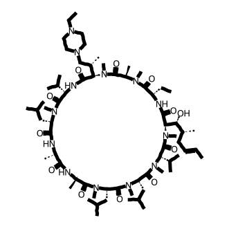 C/C=C/C[C@@H](C)[C@@H](O)[C@H]1C(=O)N[C@@H](CC)C(=O)N(C)[C@H](C)C(=O)N(C)[C@@H]([C@@H](C)CN2CCN(CC)CC2)C(=O)N[C@@H](C(C)C)C(=O)N(C)[C@@H](CC(C)C)C(=O)N[C@@H](C)C(=O)N[C@H](C)C(=O)N(C)[C@@H](CC(C)C)C(=O)N(C)[C@@H](CC(C)C)C(=O)N(C)[C@@H](C(C)C)C(=O)N1C